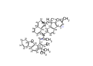 C=C/C=C\C1=C(C)C(C)(C)c2cc(N(/C(C)=C/C3=C(CC)C(C)(C)c4ccc5c6c(oc5c43)CCC=C6)c3cccc4ccccc34)ccc21